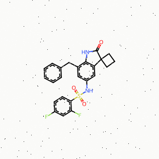 O=C1Nc2c(Cc3ccccc3)cc(NS(=O)(=O)c3ccc(F)cc3F)cc2C12CCC2